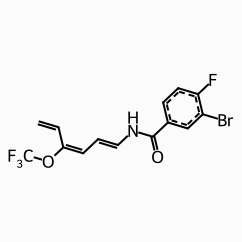 C=C/C(=C\C=C\NC(=O)c1ccc(F)c(Br)c1)OC(F)(F)F